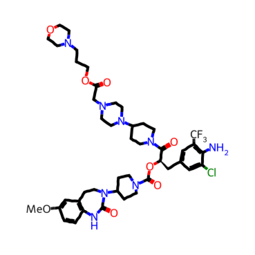 COc1ccc2c(c1)CCN(C1CCN(C(=O)O[C@H](Cc3cc(Cl)c(N)c(C(F)(F)F)c3)C(=O)N3CCC(N4CCN(CC(=O)OCCCN5CCOCC5)CC4)CC3)CC1)C(=O)N2